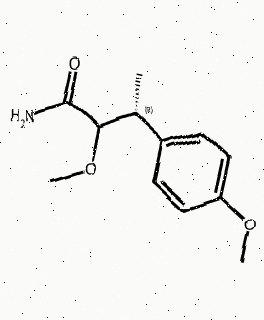 COc1ccc([C@@H](C)C(OC)C(N)=O)cc1